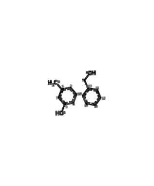 Cc1cccc(O)c1.OCc1ccccc1